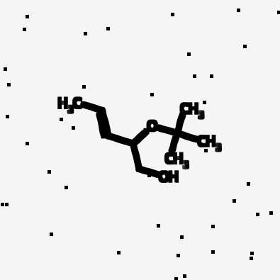 CC=CC(CO)OC(C)(C)C